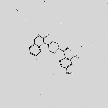 COc1ccc(C(=O)N2CCC(N3C(=O)OCc4ccccc43)CC2)c([N+](=O)[O-])c1